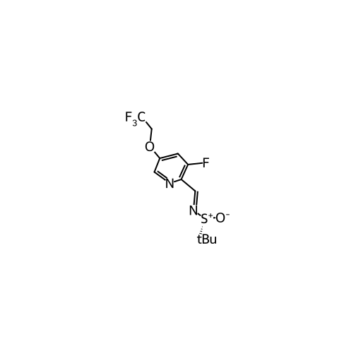 CC(C)(C)[S@@+]([O-])N=Cc1ncc(OCC(F)(F)F)cc1F